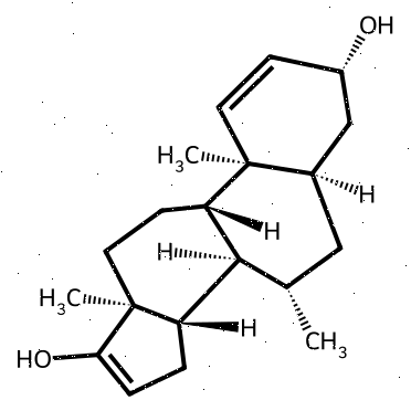 C[C@H]1C[C@@H]2C[C@@H](O)C=C[C@]2(C)[C@H]2CC[C@]3(C)C(O)=CC[C@H]3[C@H]12